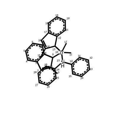 CC1=Cc2ccccc2[CH]1[Zr]([CH3])([CH3])([CH]1C(C)=Cc2ccccc21)[SiH](c1ccccc1)c1ccccc1